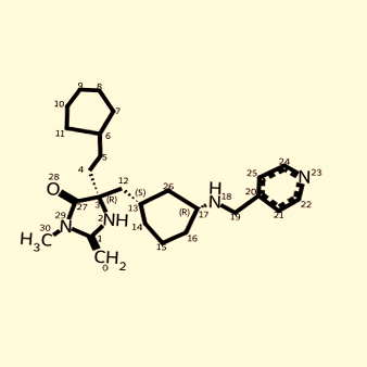 C=C1N[C@](CCC2CCCCC2)(C[C@H]2CCC[C@@H](NCc3ccncc3)C2)C(=O)N1C